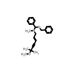 COC(C)(C)C#CC=CCN(C)C(OCc1ccccc1)c1ccccc1